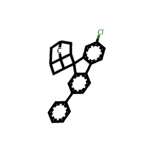 Clc1ccc2c(c1)C1(c3cc(-c4ccccc4)ccc3-2)C2CC3CC4CC1C42C3